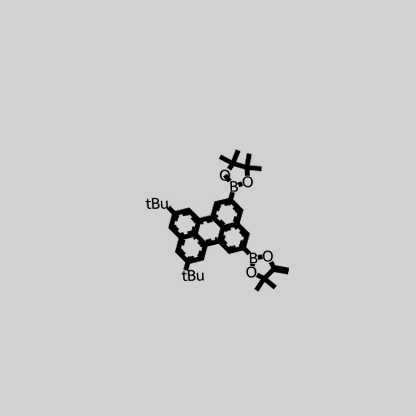 C=C1OB(c2cc3cc(B4OC(C)(C)C(C)(C)O4)cc4c5cc(C(C)(C)C)cc6cc(C(C)(C)C)cc(c(c2)c34)c65)OC1(C)C